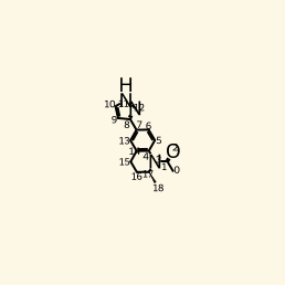 CC(=O)N1c2ccc(-c3cc[nH]n3)cc2CC[C@@H]1C